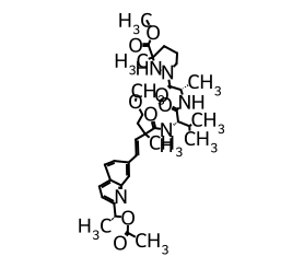 COCCC(C)(/C=C/c1ccc2ccc([C@@H](C)OC(C)=O)nc2c1)C(=O)N[C@H](C(=O)N[C@@H](C)C(=O)N1CCCC(C)(C(=O)OC)N1)C(C)C